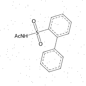 CC(=O)NS(=O)(=O)c1ccccc1-c1ccccc1